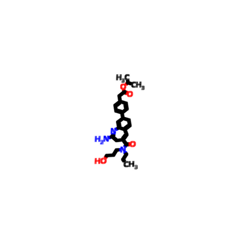 CCCN(CCCO)C(=O)C1=CC2=CCC(c3ccc(CC(=O)OC(C)C)cc3)C=C2N=C(N)C1